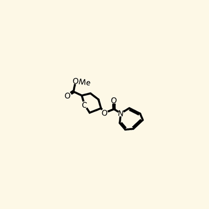 COC(=O)C1CCC(OC(=O)N2C=CC=CC=C2)CC1